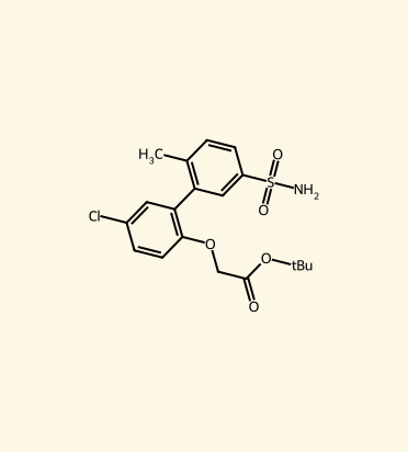 Cc1ccc(S(N)(=O)=O)cc1-c1cc(Cl)ccc1OCC(=O)OC(C)(C)C